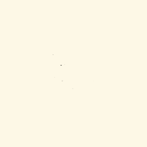 CC(CN1CCC(C(=O)O)CC1)[C@@H](O)[C@H](O)[C@H](O)CO